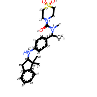 CN(C(=O)N1CCS(=O)(=O)CC1)C(c1ccc(NC2Cc3ccccc3C2(C)C)cc1)C(F)(F)F